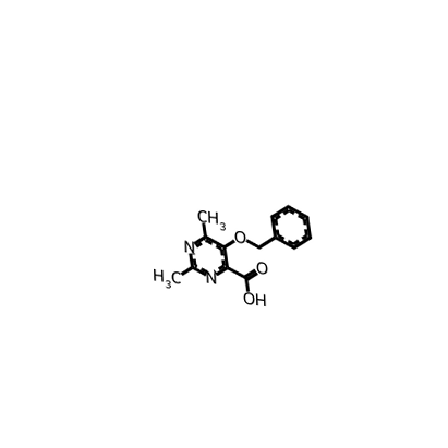 Cc1nc(C)c(OCc2ccccc2)c(C(=O)O)n1